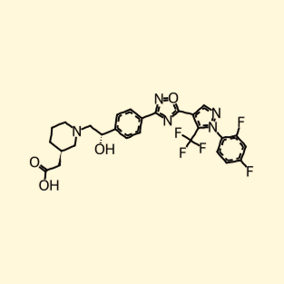 O=C(O)C[C@H]1CCCN(C[C@@H](O)c2ccc(-c3noc(-c4cnn(-c5ccc(F)cc5F)c4C(F)(F)F)n3)cc2)C1